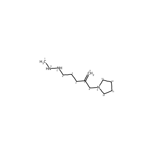 C=C(CCCNNC)CN1CCCC1